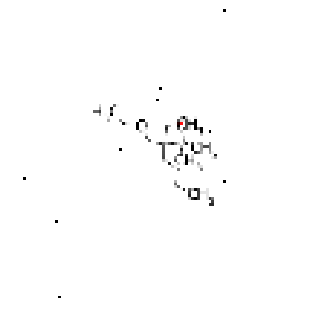 CCCCC(CC)(COCC)C(C)(C)C